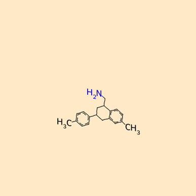 Cc1ccc(C2Cc3cc(C)ccc3C(CN)C2)cc1